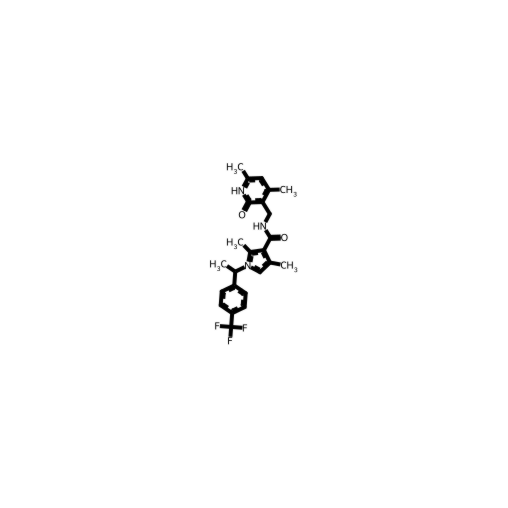 Cc1cc(C)c(CNC(=O)c2c(C)cn(C(C)c3ccc(C(F)(F)F)cc3)c2C)c(=O)[nH]1